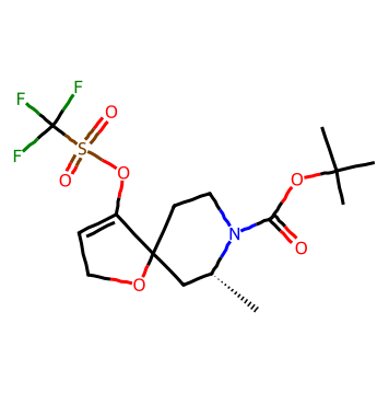 C[C@@H]1CC2(CCN1C(=O)OC(C)(C)C)OCC=C2OS(=O)(=O)C(F)(F)F